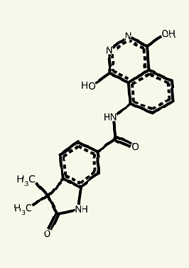 CC1(C)C(=O)Nc2cc(C(=O)Nc3cccc4c(O)nnc(O)c34)ccc21